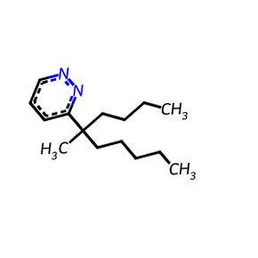 CCCCCC(C)(CCCC)c1cccnn1